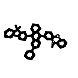 CN1c2ccccc2Oc2ccc(-c3c4ccccc4c(-c4ccc5c(c4)C(C)(C)c4ccccc4-5)c4cc(-c5ccccc5)ccc34)cc21